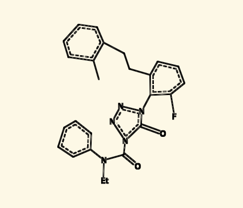 CCN(C(=O)n1nnn(-c2c(F)cccc2CCc2ccccc2C)c1=O)c1ccccc1